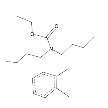 CCCCN(CCCC)C(=O)OCC.Cc1ccccc1C